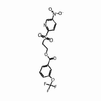 O=C(OCCS(=O)(=O)c1ccc([N+](=O)[O-])cn1)c1cccc(OC(F)(F)F)c1